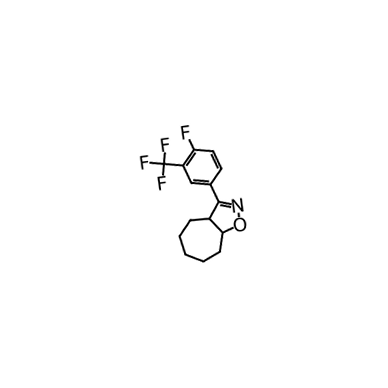 Fc1ccc(C2=NOC3CCCCCC23)cc1C(F)(F)F